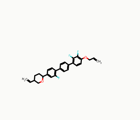 C=CCOc1ccc(-c2ccc(-c3ccc(C4CCC(C=C)CO4)cc3F)cc2)c(F)c1F